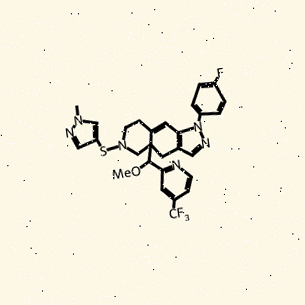 COC(c1cc(C(F)(F)F)ccn1)C12Cc3cnn(-c4ccc(F)cc4)c3C=C1CCN(Sc1cnn(C)c1)C2